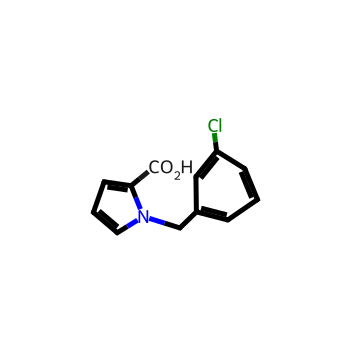 O=C(O)c1cccn1Cc1cccc(Cl)c1